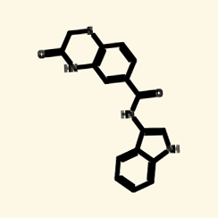 O=C1CSc2ccc(C(=O)Nc3c[nH]c4ccccc34)cc2N1